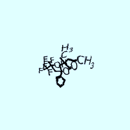 CCCC1(CC)CC(CC(O)(C(F)(F)F)C(F)(F)F)(c2ccccc2)OC1=O